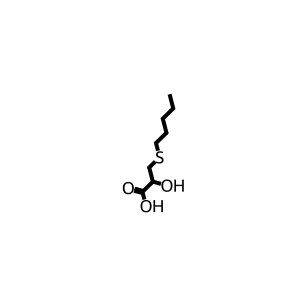 CCCCCSCC(O)C(=O)O